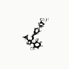 O=C(O)c1cnc(N2CC3C(/C=C/c4c(-c5c(Cl)cccc5Cl)noc4C4CC4)C3C2)s1